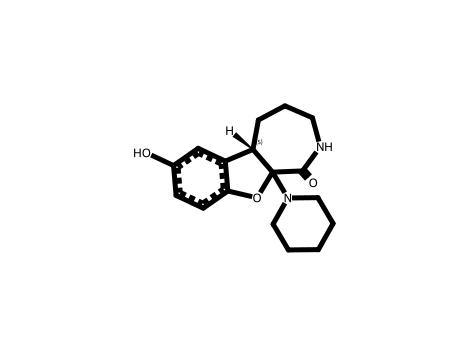 O=C1NCCC[C@H]2c3cc(O)ccc3OC12N1CCCCC1